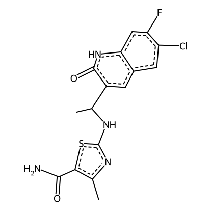 Cc1nc(NC(C)c2cc3cc(Cl)c(F)cc3[nH]c2=O)sc1C(N)=O